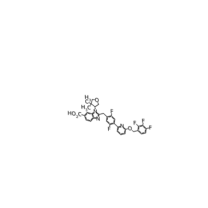 CC1(C)COC[C@H]1n1c(Cc2cc(F)c(-c3cccc(OCc4ccc(F)c(F)c4F)n3)cc2F)nc2ccc(C(=O)O)cc21